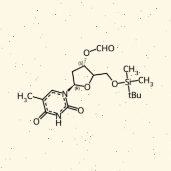 Cc1cn([C@H]2C[C@H](OC=O)C(CO[Si](C)(C)C(C)(C)C)O2)c(=O)[nH]c1=O